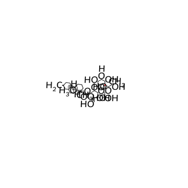 C=C1CC[C@@H]2C(CC[C@H]3[C@@]2(C)CCC[C@@]3(C)C(=O)OC2OC(CO)C(O)C(OC(OC(CO)C(C)O)C(O)O)C2OC2OCC(O)C(O)C2O)C1